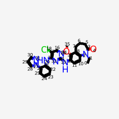 CCN1C(=O)CCCc2c1ccc(Nc1ncc(Cl)c(Nc3ccccc3-n3cccn3)n1)c2OC